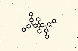 c1ccc(-c2ccc(N(c3ccc(-c4ccccc4)cc3)c3ccc4c(C5CCCCC5)c5cc(N(c6ccc(-c7ccccc7)cc6)c6ccc(-c7ccccc7)cc6)ccc5c(C5CCCCC5)c4c3)cc2)cc1